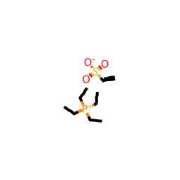 C=CS(=O)(=O)[O-].CC[P+](CC)(CC)CC